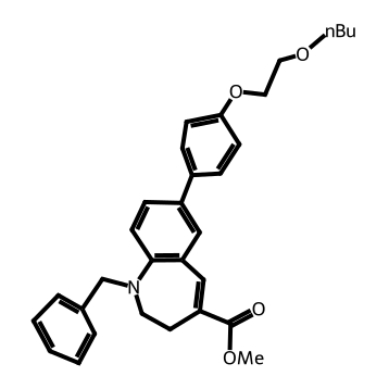 CCCCOCCOc1ccc(-c2ccc3c(c2)C=C(C(=O)OC)CCN3Cc2ccccc2)cc1